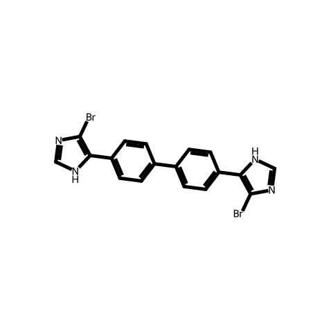 Brc1nc[nH]c1-c1ccc(-c2ccc(-c3[nH]cnc3Br)cc2)cc1